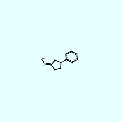 ON=C1CC[C@H](c2ccccc2)C1